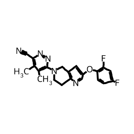 Cc1c(C#N)nnc(N2CCc3ncc(Oc4ccc(F)cc4F)cc3C2)c1C